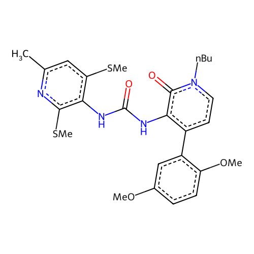 CCCCn1ccc(-c2cc(OC)ccc2OC)c(NC(=O)Nc2c(SC)cc(C)nc2SC)c1=O